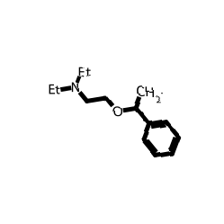 [CH2]C(OCCN(CC)CC)c1ccccc1